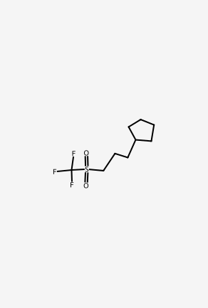 O=S(=O)(CCCC1CCCC1)C(F)(F)F